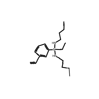 C=Cc1cccc([Si](CC)(NCCCC)NCCCC)c1